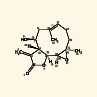 C=C1C(=O)O[C@H]2[C@H]1[C@@H](O)C/C(C)=C/CC[C@@]1(C)O[C@@H]21